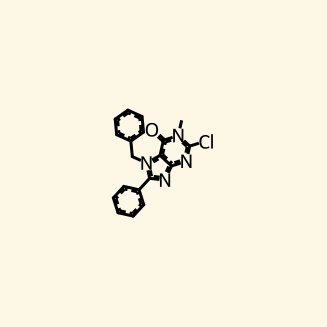 Cn1c(Cl)nc2nc(-c3ccccc3)n(Cc3ccccc3)c2c1=O